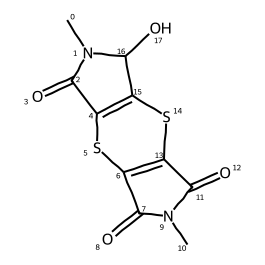 CN1C(=O)c2sc3c(=O)n(C)c(=O)c=3sc2C1O